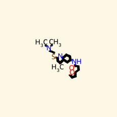 CCN(CC)CCSc1cc(C)c2cc(NC(=O)/C=C\c3ccco3)ccc2n1